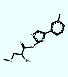 COCC(N)C(=O)Nc1nc(-c2cccc(C)c2)cs1